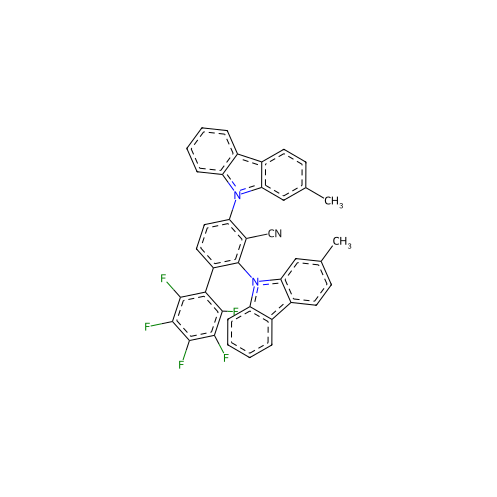 Cc1ccc2c3ccccc3n(-c3ccc(-c4c(F)c(F)c(F)c(F)c4F)c(-n4c5ccccc5c5ccc(C)cc54)c3C#N)c2c1